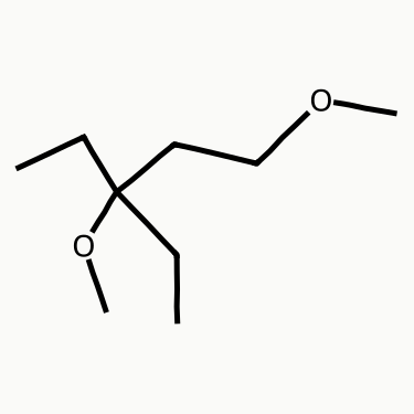 CCC(CC)(CCOC)OC